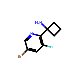 NC1(c2ncc(Br)cc2F)CCC1